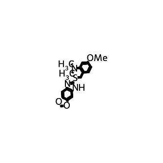 COc1ccc(CSc2nc3cc4c(cc3[nH]2)OCO4)c(N(C)C)c1